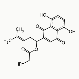 CC(C)=CCC(OC(=O)CC(C)C)C1=CC(=O)c2c(O)ccc(O)c2C1=O